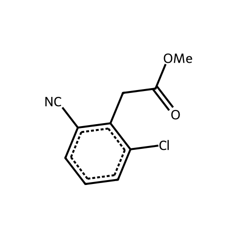 COC(=O)Cc1c(Cl)cccc1C#N